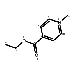 CCOC(=O)c1cc[n+](C)cc1